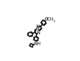 COc1ccc(-c2cc3nc(-c4ccc(NC5CCC5)cc4)c(-c4ccccc4)cn3n2)cc1